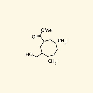 COC(=O)[C]1CCCCCC(CO)C1.[CH2].[CH2]